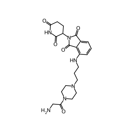 NCC(=O)N1CCN(CCCNc2cccc3c2C(=O)N(C2CCC(=O)NC2=O)C3=O)CC1